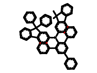 CC1(C)c2ccccc2-c2ccc(N(c3ccc4c(c3)C(c3ccccc3)(c3ccccc3)c3ccccc3-4)c3c(-c4ccccc4)cc(-c4ccccc4)cc3-c3ccccc3)cc21